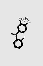 CN(c1ccc(Cl)c(C(=O)O)c1)c1ccccc1F